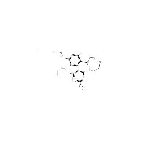 CCOC(=O)COc1cc(Cl)c(C2COCCCN2c2cc(C)nc(N)n2)cc1OCC